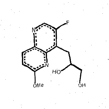 COc1ccc2ncc(F)c(CC(O)CO)c2n1